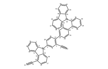 N#Cc1cc(-n2c3ccccc3c3c(C#N)cccc32)ccc1-c1ccc(-c2ccccc2-n2c3ccccc3c3ccccc32)cc1